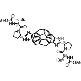 CC[C@H](C)[C@H](NC(=O)OC)C(=O)N1CCC[C@H]1c1nc2cc(-c3cc4ccc3CCc3ccc(c(-c5ccc6[nH]c([C@@H]7CCCN7C(=O)[C@@H](NC(=O)OC)[C@@H](C)CC)nc6c5)c3)CC4)ccc2[nH]1